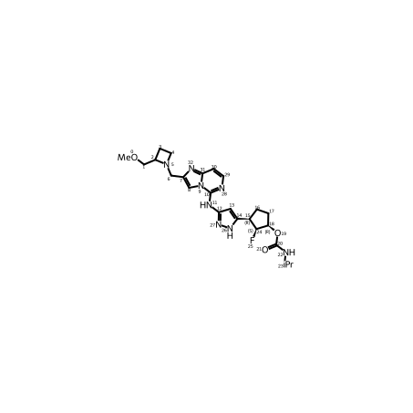 COCC1CCN1Cc1cn2c(Nc3cc([C@H]4CC[C@@H](OC(=O)NC(C)C)[C@H]4F)[nH]n3)nccc2n1